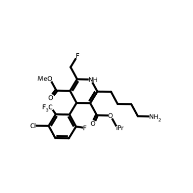 COC(=O)C1=C(CF)NC(CCCCN)=C(C(=O)OC(C)C)C1c1c(F)ccc(Cl)c1C(F)(F)F